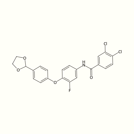 O=C(Nc1ccc(Oc2ccc(C3OCCO3)cc2)c(F)c1)c1ccc(Cl)c(Cl)c1